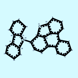 c1ccc2c(c1)c1cccc3oc4c(-n5c6ccccc6c6ccccc65)ccc2c4c31